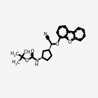 CC(C)(C)OC(=O)N[C@@H]1CC[C@H](C(C#N)Oc2cccc3c2oc2ccccc23)C1